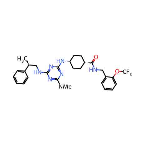 CNc1nc(NC[C@H](C)c2ccccc2)nc(N[C@H]2CC[C@@H](C(=O)NCc3ccccc3OC(F)(F)F)CC2)n1